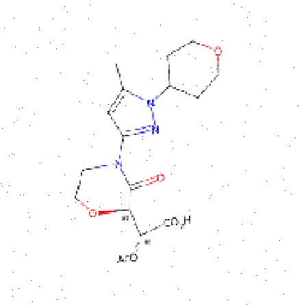 CC(=O)O[C@@H](C(=O)O)[C@H]1OCCN(c2cc(C)n(C3CCOCC3)n2)C1=O